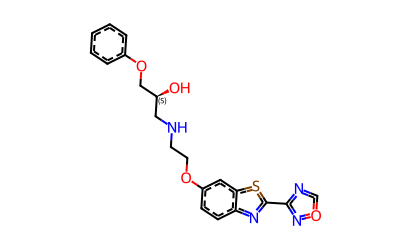 O[C@@H](CNCCOc1ccc2nc(-c3ncon3)sc2c1)COc1ccccc1